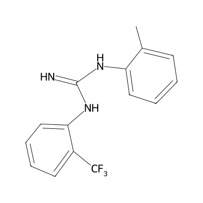 Cc1ccccc1NC(=N)Nc1ccccc1C(F)(F)F